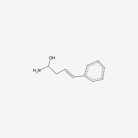 NC(O)CC=Cc1ccccc1